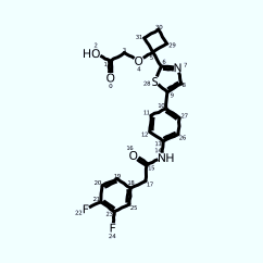 O=C(O)COC1(c2ncc(-c3ccc(NC(=O)Cc4ccc(F)c(F)c4)cc3)s2)CCC1